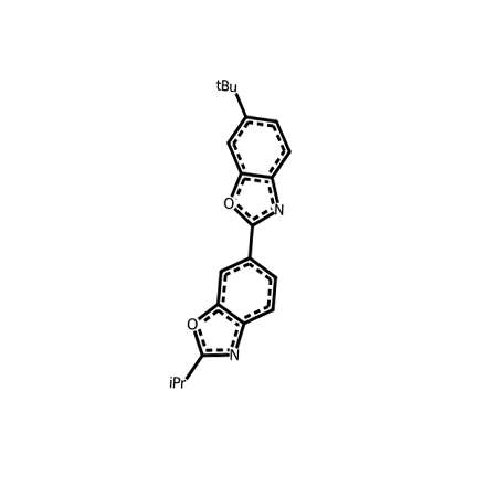 CC(C)c1nc2ccc(-c3nc4ccc(C(C)(C)C)cc4o3)cc2o1